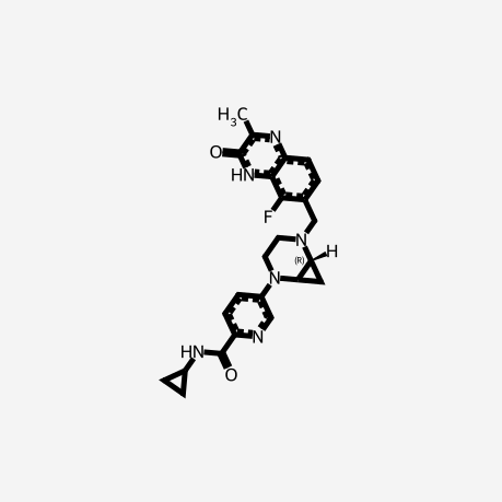 Cc1nc2ccc(CN3CCN(c4ccc(C(=O)NC5CC5)nc4)C4C[C@H]43)c(F)c2[nH]c1=O